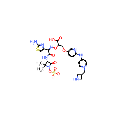 CC1(C)[C@H](NC(=O)/C(=N\OC(COc2ccc(Nc3cc[n+](CC4CNC4)cc3)nc2)C(=O)O)c2csc(N)n2)C(=O)N1OS(=O)(=O)[O-]